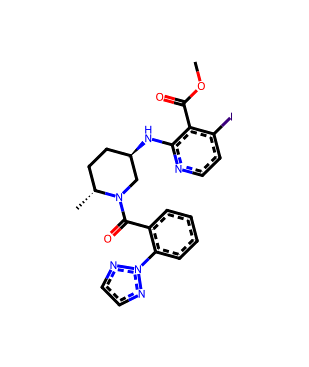 COC(=O)c1c(I)ccnc1N[C@@H]1CC[C@@H](C)N(C(=O)c2ccccc2-n2nccn2)C1